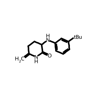 C=C1CCC(Nc2cccc(C(C)(C)C)c2)C(=O)N1